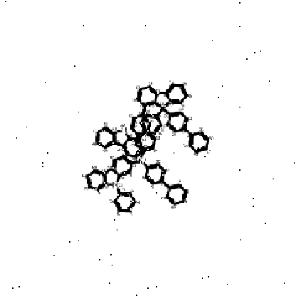 c1ccc(-c2ccc(N(c3ccc4cc(-c5cccc6c5C(c5ccc(-c7ccccc7)cc5)(c5ccc(-c7cccc8c7oc7ccccc78)cc5)c5ccccc5-6)ccc4c3)c3ccc4c5ccccc5n(-c5ccccc5)c4c3)cc2)cc1